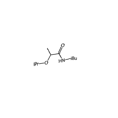 CCC(C)NC(=O)C(C)OC(C)C